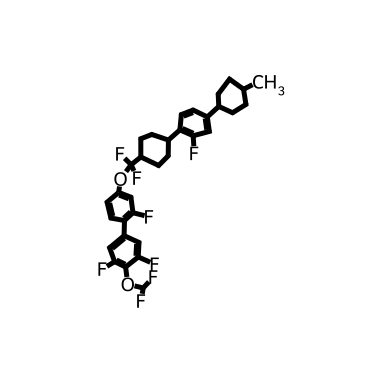 CC1CCC(c2ccc(C3CCC(C(F)(F)Oc4ccc(-c5cc(F)c(OC(F)F)c(F)c5)c(F)c4)CC3)c(F)c2)CC1